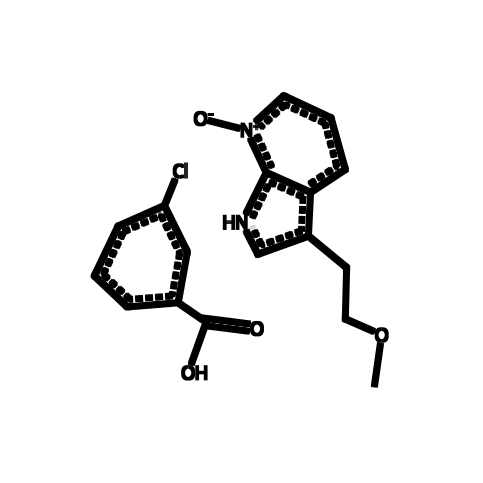 COCCc1c[nH]c2c1ccc[n+]2[O-].O=C(O)c1cccc(Cl)c1